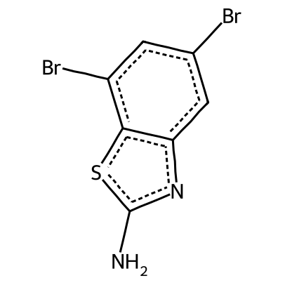 Nc1nc2cc(Br)cc(Br)c2s1